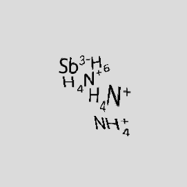 [NH4+].[NH4+].[NH4+].[SbH6-3]